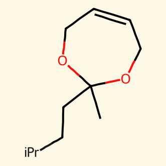 CC(C)CCC1(C)OCC=CCO1